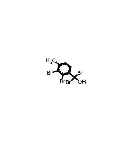 Cc1ccc(C(O)(Br)Br)c(Br)c1Br